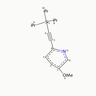 COc1ccc(C#C[Si](C(C)C)(C(C)C)C(C)C)nc1